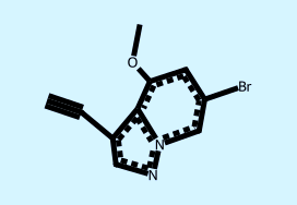 C#Cc1cnn2cc(Br)cc(OC)c12